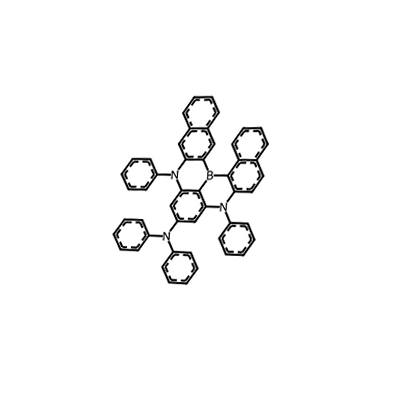 c1ccc(N(c2ccccc2)c2cc3c4c(c2)N(c2ccccc2)c2ccc5ccccc5c2B4c2cc4ccccc4cc2N3c2ccccc2)cc1